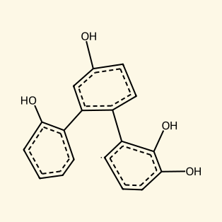 Oc1ccc(-c2[c]ccc(O)c2O)c(-c2ccccc2O)c1